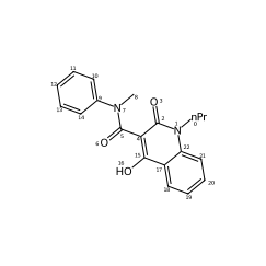 CCCn1c(=O)c(C(=O)N(C)c2ccccc2)c(O)c2ccccc21